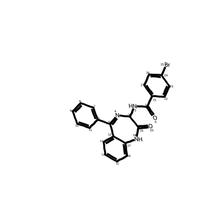 O=C(NC1N=C(c2ccccc2)c2ccccc2NC1=O)c1ccc(Br)cc1